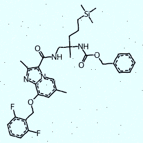 Cc1cc(OCc2c(F)cccc2F)c2nc(C)c(C(=O)NCC(C)(CCC[Si](C)(C)C)NC(=O)OCc3ccccc3)n2c1